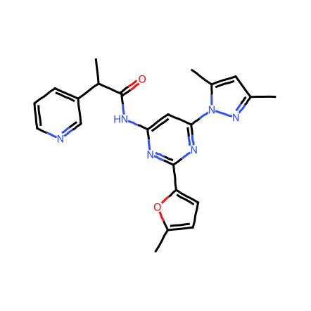 Cc1cc(C)n(-c2cc(NC(=O)C(C)c3cccnc3)nc(-c3ccc(C)o3)n2)n1